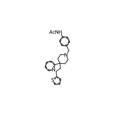 CC(=O)Nc1ccc(CN2CCC(CCc3cccs3)(c3ccccn3)CC2)cc1